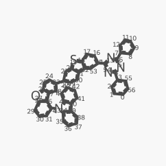 c1ccc(-c2nc(-c3ccccc3)nc(-c3ccc4sc5cc(-c6ccc7oc8cccc(-n9c%10ccccc%10c%10ccccc%109)c8c7c6)ccc5c4c3)n2)cc1